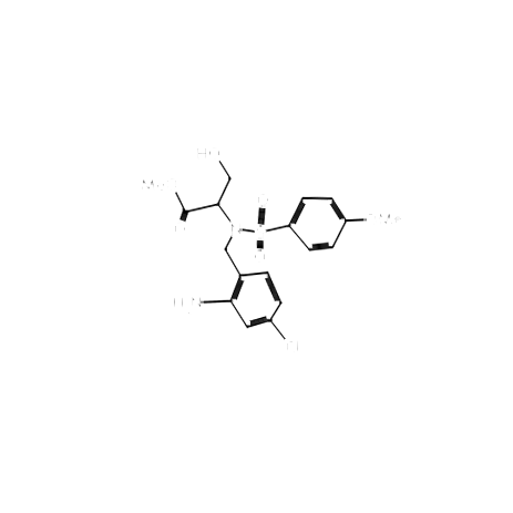 COC(=O)C(CO)N(Cc1ccc(Cl)cc1N)S(=O)(=O)c1ccc(OC)cc1